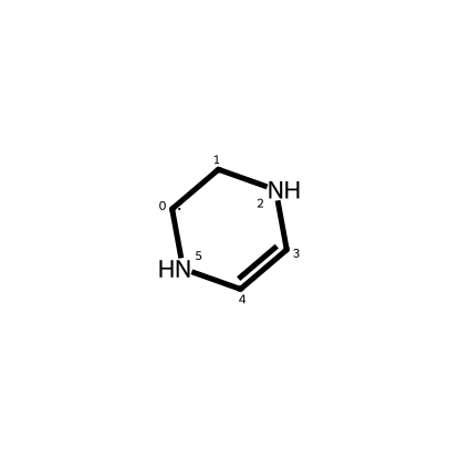 [CH]1CNC=CN1